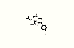 CCc1nc2c(-c3ccc(OC)cc3Cl)nccn2c1N(CC(C)C)CC(C)C